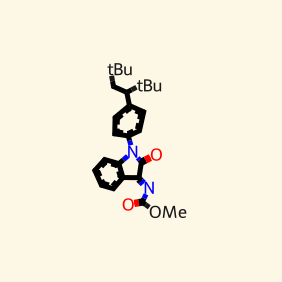 COC(=O)/N=C1/C(=O)N(c2ccc(C(CC(C)(C)C)C(C)(C)C)cc2)c2ccccc21